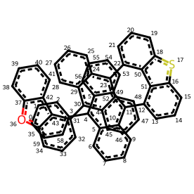 c1ccc(-c2c3ccccc3c(-c3cccc4sc5cccc(-c6c7ccccc7c(-c7cccc8oc9ccccc9c78)c7ccccc67)c5c34)c3ccccc23)cc1